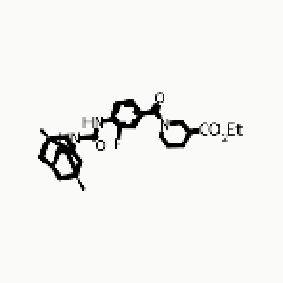 CCOC(=O)C1CCCN(C(=O)c2ccc(NC(=O)NC34CC5C[C@@](C)(C3)C[C@](C)(C5)C4)c(F)c2)C1